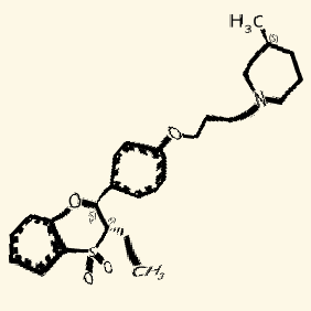 CC[C@H]1[C@H](c2ccc(OCCCN3CCC[C@H](C)C3)cc2)Oc2ccccc2S1(=O)=O